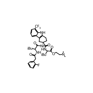 CCC(C)C(NC(=O)Cc1ccccc1F)C(=O)N[C@@]1(C(=O)NC(C(=O)OCCN(C)C)C(C)CC)CCc2[nH]c3c(C(F)(F)F)cccc3c2C1